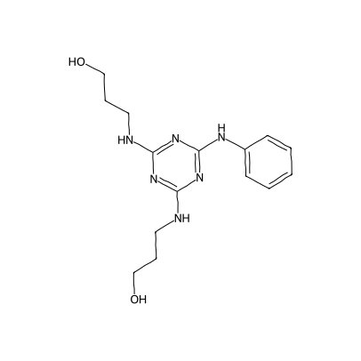 OCCCNc1nc(NCCCO)nc(Nc2ccccc2)n1